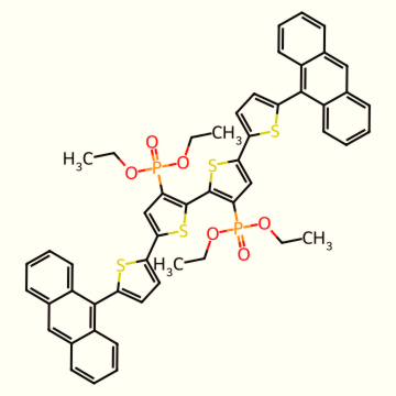 CCOP(=O)(OCC)c1cc(-c2ccc(-c3c4ccccc4cc4ccccc34)s2)sc1-c1sc(-c2ccc(-c3c4ccccc4cc4ccccc34)s2)cc1P(=O)(OCC)OCC